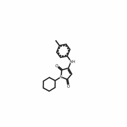 Cc1ccc(NC2=CC(=O)N(C3CCCCC3)C2=O)cc1